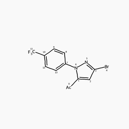 CC(=O)c1cc(Br)nn1-c1ccc(C(F)(F)F)cc1